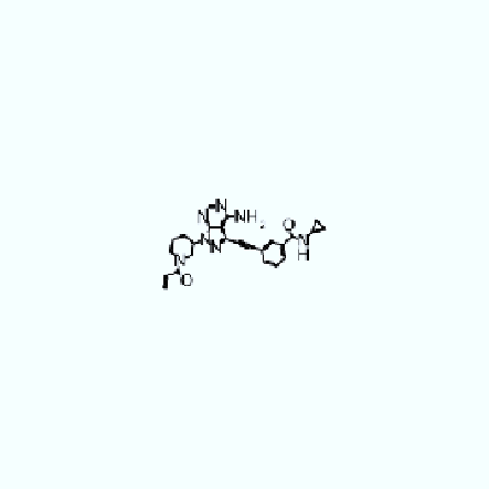 C=CC(=O)N1CCCC(n2nc(C#Cc3cccc(C(=O)NC4CC4)c3)c3c(N)ncnc32)C1